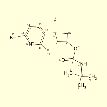 CC(C)(C)NC(=O)OC1CC(F)(c2ccc(Br)nc2F)C1